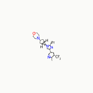 Cc1ncc(-c2cn([C@H]3[C@@H]4CC(N5CCOCC5)C[C@@H]43)c(C(C)C)n2)cc1C(F)(F)F